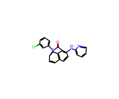 O=C1c2c3ccc(Nc4ccccn4)c2C(=O)N(c2cccc(Cl)c2)C1C=C3